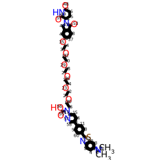 CN(C)c1ccc2nc(-c3ccc(-c4ccc(N(CCOCCOCCOCCOCCOCCOc5ccc6c(c5)CN(C5CCC(=O)NC5=O)C6=O)C(=O)O)nc4)cc3)sc2c1